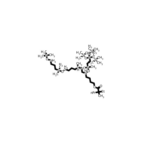 CCCC(C)(CC)C(=O)OCCCC[SiH](CO[SiH](C)CCC[SiH2]O[Si](C)(C)CCC[SiH2]O[Si](C)(C)C)O[Si](C)(C)CC[Si](O[Si](C)(C)C)(O[Si](C)(C)C)O[Si](C)(C)C